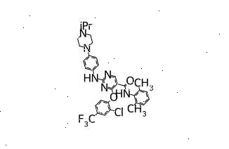 Cc1cccc(C)c1NC(=O)c1cnc(Nc2ccc(N3CCN(C(C)C)CC3)cc2)nc1Oc1ccc(C(F)(F)F)cc1Cl